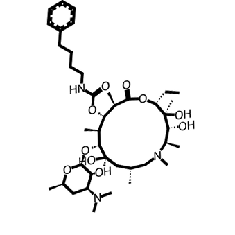 CC[C@H]1OC(=O)[C@H](C)[C@@H](OC(=O)NCCCCc2ccccc2)[C@H](C)[C@@H](O[C@@H]2O[C@H](C)C[C@H](N(C)C)[C@H]2O)[C@](C)(O)C[C@@H](C)CN(C)[C@H](C)[C@@H](O)[C@]1(C)O